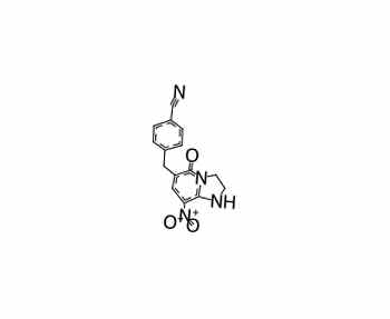 N#Cc1ccc(Cc2cc([N+](=O)[O-])c3n(c2=O)CCN3)cc1